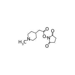 CN1CCC(CC(=O)ON2C(=O)CCC2=O)CC1